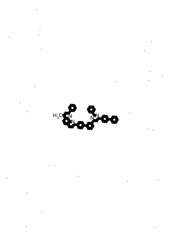 Cc1cc(-c2ccccc2)nc2c1ccc1ccc(-c3ccc(-c4cccc(-c5cc(-c6ccc(-c7ccccc7)cc6)nc(-c6ccccc6)n5)c4)cc3)nc12